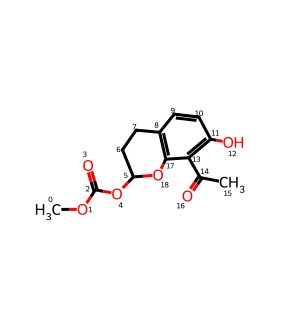 COC(=O)OC1CCc2ccc(O)c(C(C)=O)c2O1